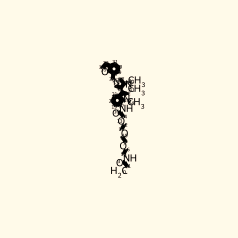 C=CC(=O)NCCOCCOCCOCC(=O)Nc1cccc2c([C@H]3CN(Cc4cccc5ccoc45)C[C@@H]3N(C)C)cn(C)c12